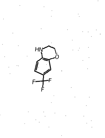 FC(F)(F)c1ccc2c(c1)OCCN2